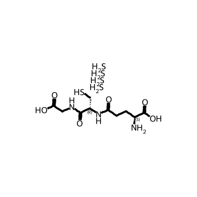 N[C@@H](CCC(=O)N[C@@H](CS)C(=O)NCC(=O)O)C(=O)O.S.S.S.S